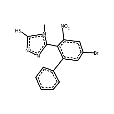 Cn1c(S)nnc1-c1c(-c2ccccc2)cc(Br)cc1[N+](=O)[O-]